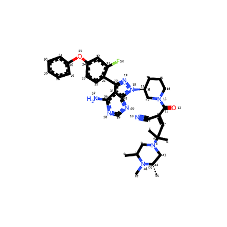 CC1CN(C(C)(C)C=C(C#N)C(=O)N2CCC[C@H](n3nc(-c4ccc(Oc5ccccc5)cc4F)c4c(N)ncnc43)C2)C[C@H](C)N1C